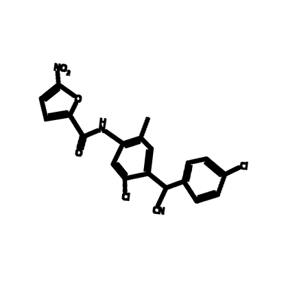 Cc1cc(C(C#N)c2ccc(Cl)cc2)c(Cl)cc1NC(=O)c1ccc([N+](=O)[O-])o1